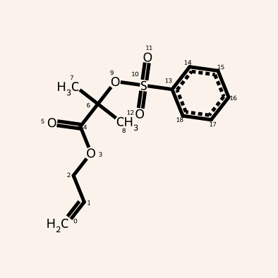 C=CCOC(=O)C(C)(C)OS(=O)(=O)c1ccccc1